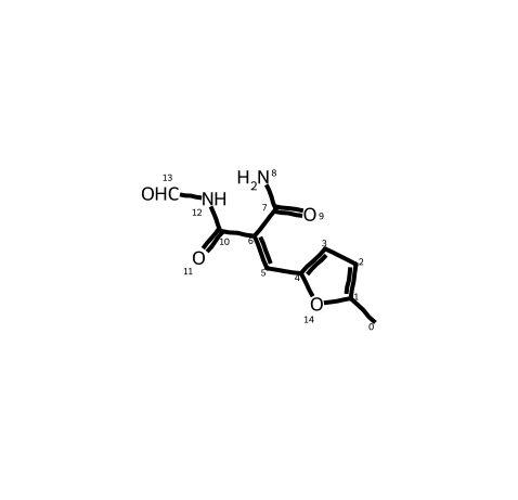 Cc1ccc(/C=C(\C(N)=O)C(=O)NC=O)o1